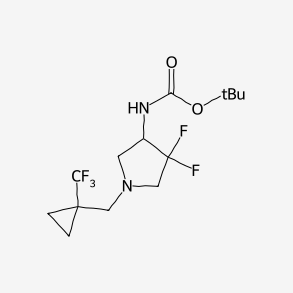 CC(C)(C)OC(=O)NC1CN(CC2(C(F)(F)F)CC2)CC1(F)F